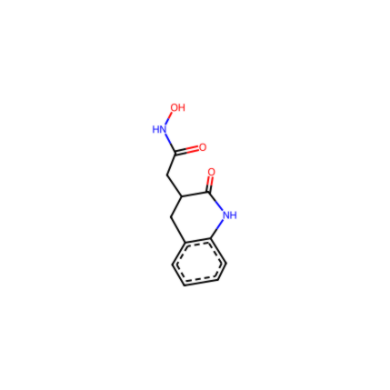 O=C(CC1Cc2ccccc2NC1=O)NO